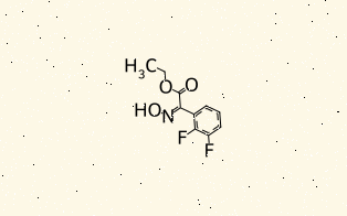 CCOC(=O)C(=NO)c1cccc(F)c1F